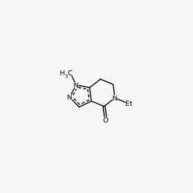 CCN1CCc2c(cnn2C)C1=O